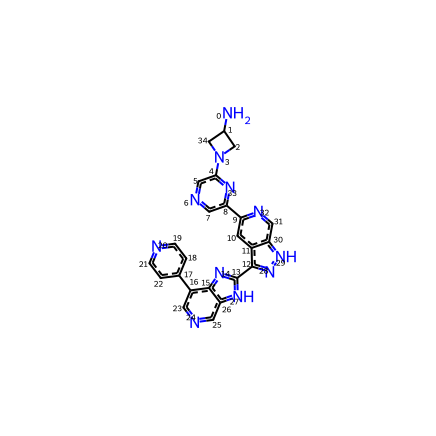 NC1CN(c2cncc(-c3cc4c(-c5nc6c(-c7ccncc7)cncc6[nH]5)n[nH]c4cn3)n2)C1